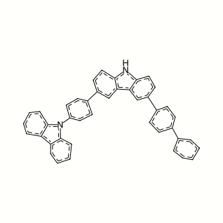 c1ccc(-c2ccc(-c3ccc4[nH]c5ccc(-c6ccc(-n7c8ccccc8c8ccccc87)cc6)cc5c4c3)cc2)cc1